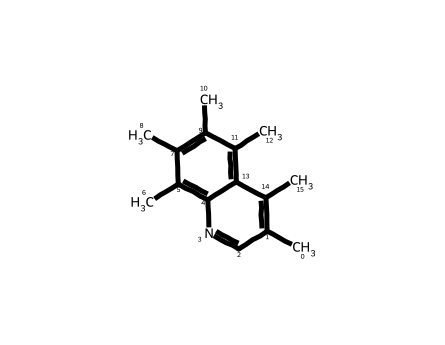 Cc1cnc2c(C)c(C)c(C)c(C)c2c1C